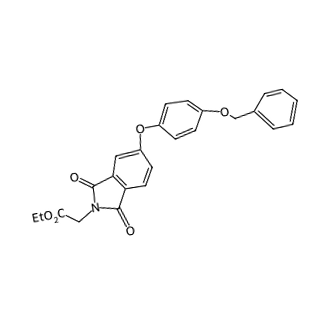 CCOC(=O)CN1C(=O)c2ccc(Oc3ccc(OCc4ccccc4)cc3)cc2C1=O